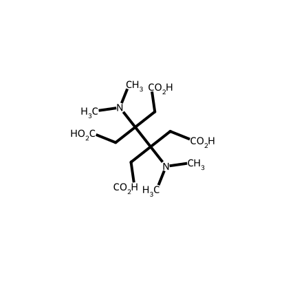 CN(C)C(CC(=O)O)(CC(=O)O)C(CC(=O)O)(CC(=O)O)N(C)C